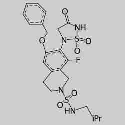 CC(C)CNS(=O)(=O)N1CCc2cc(OCc3ccccc3)c(N3CC(=O)NS3(=O)=O)c(F)c2C1